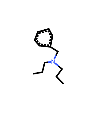 CCCN(CCC)Cc1ccccc1